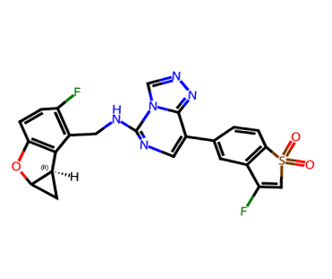 O=S1(=O)C=C(F)c2cc(-c3cnc(NCc4c(F)ccc5c4[C@H]4CC4O5)n4cnnc34)ccc21